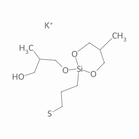 CC(CO)CO[Si]1(CCC[S-])OCC(C)CO1.[K+]